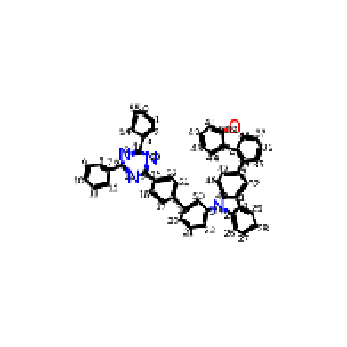 c1ccc(-c2nc(-c3ccccc3)nc(-c3ccc(-c4cccc(-n5c6ccccc6c6cc(-c7cccc8oc9ccccc9c78)ccc65)c4)cc3)n2)cc1